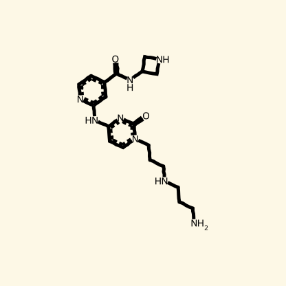 NCCCNCCCn1ccc(Nc2cc(C(=O)NC3CNC3)ccn2)nc1=O